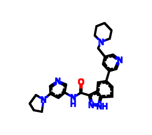 O=C(Nc1cncc(N2CCCC2)c1)c1n[nH]c2ccc(-c3cncc(CN4CCCCC4)c3)cc12